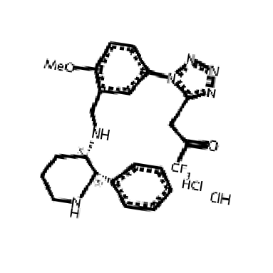 COc1ccc(-n2nnnc2CC(=O)C(F)(F)F)cc1CN[C@H]1CCCN[C@H]1c1ccccc1.Cl.Cl